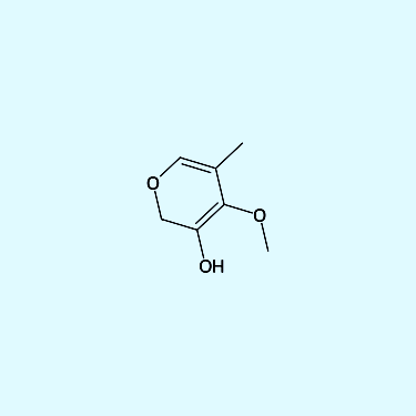 COC1=C(O)COC=C1C